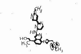 C[C@H](CO)c1ccc(N2CC(CS(C)(=O)=O)C2)c2cnc(Nc3ccnc(-c4cnn(C)c4)n3)cc12